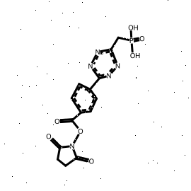 O=C(ON1C(=O)CCC1=O)c1ccc(-c2nnc(CP(=O)(O)O)nn2)cc1